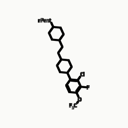 CCCCCC1CCC(CCC2CCC(c3ccc(OC(F)(F)F)c(F)c3Cl)CC2)CC1